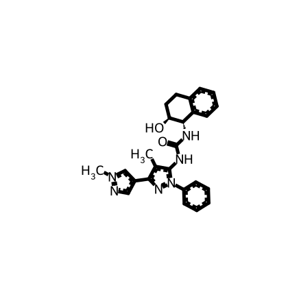 Cc1c(-c2cnn(C)c2)nn(-c2ccccc2)c1NC(=O)N[C@H]1c2ccccc2CC[C@@H]1O